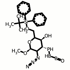 CO[C@H]1OC(CO[Si](c2ccccc2)(c2ccccc2)C(C)(C)C)[C@@H](O)[C@H](PBB=O)C1N=[N+]=[N-]